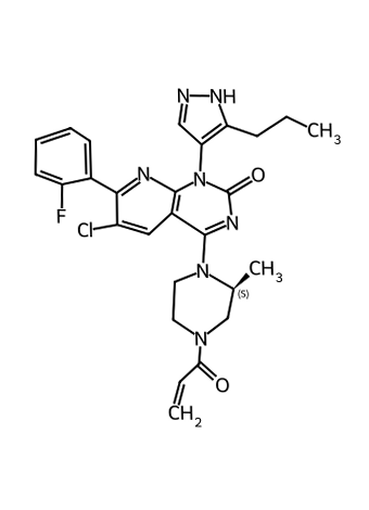 C=CC(=O)N1CCN(c2nc(=O)n(-c3cn[nH]c3CCC)c3nc(-c4ccccc4F)c(Cl)cc23)[C@@H](C)C1